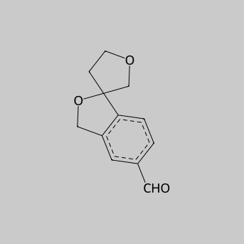 O=Cc1ccc2c(c1)COC21CCOC1